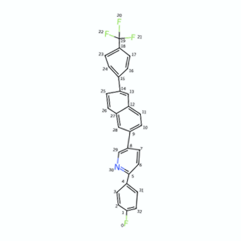 Fc1ccc(-c2ccc(-c3ccc4cc(-c5ccc(C(F)(F)F)cc5)ccc4c3)cn2)cc1